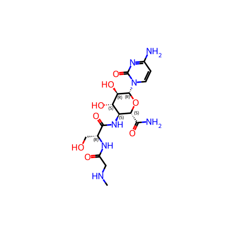 CNCC(=O)N[C@H](CO)C(=O)N[C@H]1[C@H](O)[C@@H](O)[C@H](n2ccc(N)nc2=O)O[C@@H]1C(N)=O